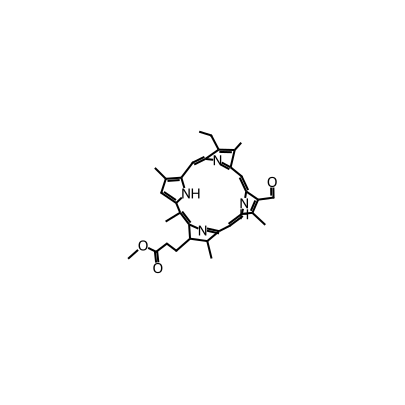 CCC1=C(C)c2cc3[nH]c(cc4nc(c(C)c5cc(C)c(cc1n2)[nH]5)C(CCC(=O)OC)C4C)c(C)c3C=O